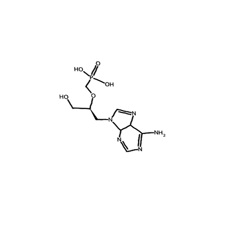 NC1=NC=NC2C1N=CN2C[C@@H](CO)OCP(=O)(O)O